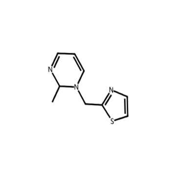 CC1N=CC=CN1Cc1nccs1